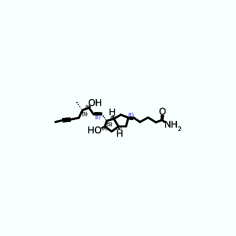 CC#CC[C@H](C)[C@H](O)/C=C/[C@@H]1[C@H]2C/C(=C/CCCC(N)=O)C[C@H]2C[C@H]1O